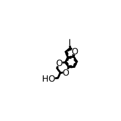 OCC1COc2c(ccc3oc(I)cc23)O1